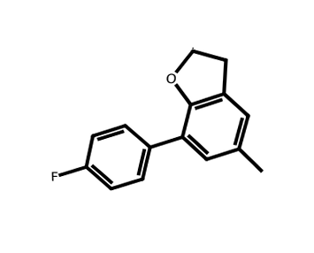 Cc1cc2c(c(-c3ccc(F)cc3)c1)O[CH]C2